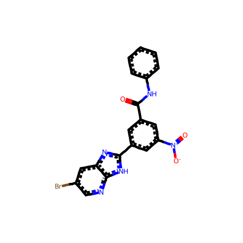 O=C(Nc1ccccc1)c1cc(-c2nc3cc(Br)cnc3[nH]2)cc([N+](=O)[O-])c1